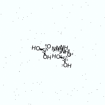 N.N.N.N.O=[Si](O)O.O=[Si](O)O